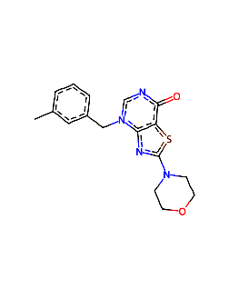 Cc1cccc(Cn2cnc(=O)c3sc(N4CCOCC4)nc32)c1